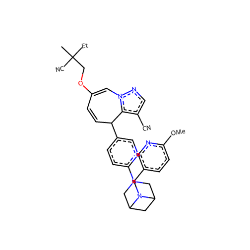 CCC(C)(C#N)COC1=Cn2ncc(C#N)c2C(c2ccc(N3CC4CC(C3)N4Cc3ccc(OC)nc3)nc2)C=C1